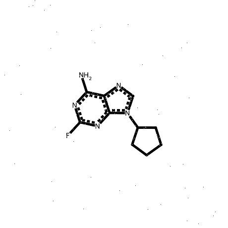 Nc1nc(F)nc2c1ncn2C1CCCC1